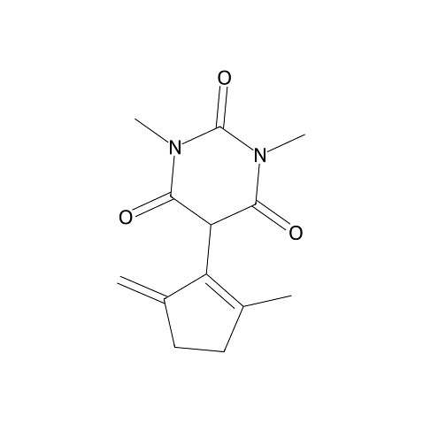 C=C1CCC(C)=C1C1C(=O)N(C)C(=O)N(C)C1=O